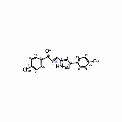 O=C(/C=C/c1cc(-c2ccc(F)cc2)n[nH]1)c1ccc(Cl)cc1